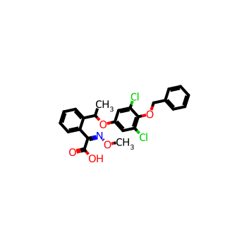 CON=C(C(=O)O)c1ccccc1C(C)Oc1cc(Cl)c(OCc2ccccc2)c(Cl)c1